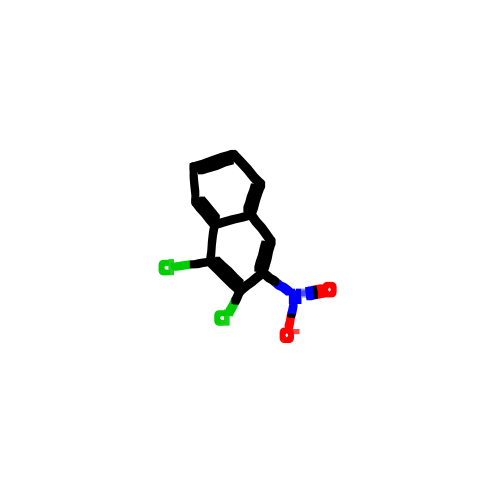 O=[N+]([O-])c1cc2ccccc2c(Cl)c1Cl